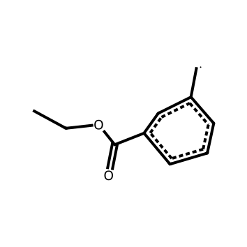 [CH2]c1cccc(C(=O)OCC)c1